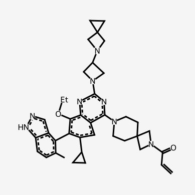 C=CC(=O)N1CC2(CCN(c3nc(N4CC(N5CC6(CC6)C5)C4)nc4c(OCC)c(-c5c(C)ccc6[nH]ncc56)c(C5CC5)cc34)CC2)C1